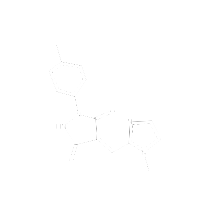 Cn1ccnc1/C=C1/C(=O)NN(c2ccc(I)cc2)C1=O